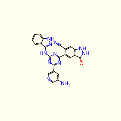 N#Cc1cc2[nH][nH]c(=O)c2cc1-c1nc(Nc2n[nH]c3ccccc23)nc(-c2cncc(N)c2)n1